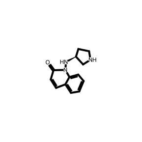 O=c1ccc2ccccc2n1N[C@H]1CCNC1